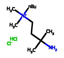 CCCC[N+](C)(C)CCC(C)(C)N.Cl.[Cl-]